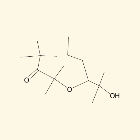 CCCC(OC(C)(C)C(=O)C(C)(C)C)C(C)(C)O